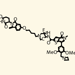 C=C1c2ccc(OCCCCCN3CCC(NC(=O)c4cc5c(=O)n(C)cc(-c6cc(OC)c(CN7CCC7)c(OC)c6)c5s4)C(F)(F)C3)cc2C(=O)N1C1CCC(=O)NC1=O